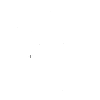 CCOc1c(Nc2cccc(C)c2O)c(=O)c1=O